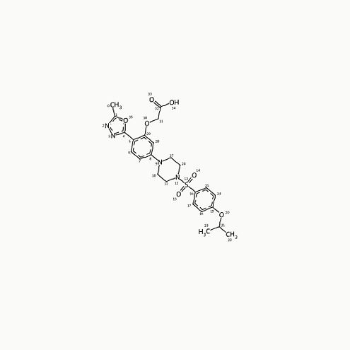 Cc1nnc(-c2ccc(N3CCN(S(=O)(=O)c4ccc(OC(C)C)cc4)CC3)cc2OCC(=O)O)o1